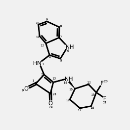 O=c1c(Nc2c[nH]c3ccccc23)c(N[C@@H]2CCCC(F)(F)C2)c1=O